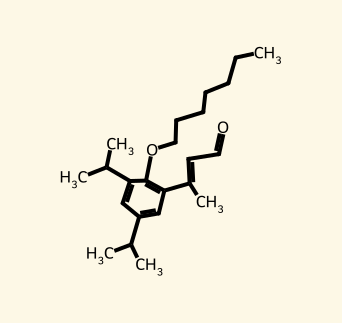 CCCCCCCOc1c(C(C)=CC=O)cc(C(C)C)cc1C(C)C